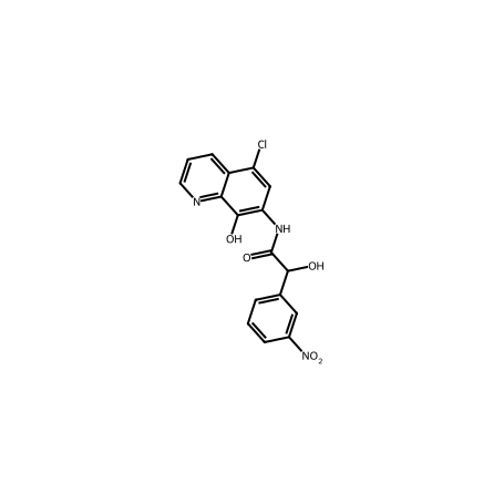 O=C(Nc1cc(Cl)c2cccnc2c1O)C(O)c1cccc([N+](=O)[O-])c1